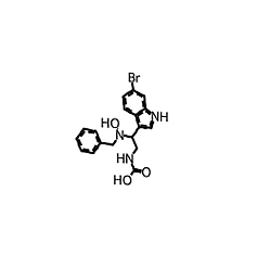 O=C(O)NCC(c1c[nH]c2cc(Br)ccc12)N(O)Cc1ccccc1